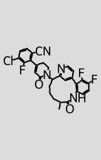 CC1CCCC(N2CCC(c3c(C#N)ccc(Cl)c3F)=CC2=O)c2cc(ccn2)-c2c(ccc(F)c2F)NC1=O